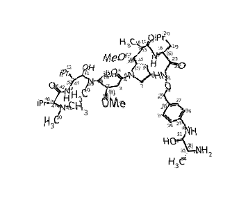 CC[C@H](C)[C@@H]([C@@H](CC(=O)N1CCC[C@H]1[C@H](OC)[C@@H](C)C(=O)N[C@@H](CC(C)C)C(=O)NOCc1ccc(NC(O)[C@@H](C)N)cc1)OC)N(C)C(O)[C@@H](NC(=O)[C@H](C(C)C)N(C)C)C(C)C